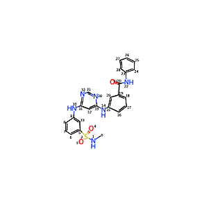 CNS(=O)(=O)c1cccc(Nc2cc(Nc3cccc(C(=O)Nc4ccccc4)c3)ncn2)c1